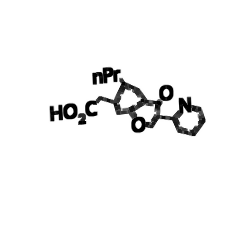 CCCc1cc2c(=O)c(-c3ccccn3)coc2cc1CC(=O)O